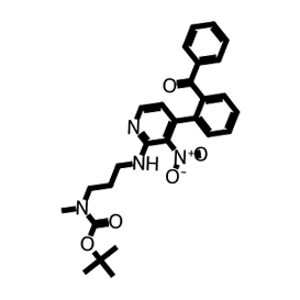 CN(CCCNc1nccc(-c2ccccc2C(=O)c2ccccc2)c1[N+](=O)[O-])C(=O)OC(C)(C)C